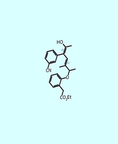 CCOC(=O)Cc1ccccc1OC(C)/C(C)=C/C(=C(\C)O)c1cccc(C#N)c1